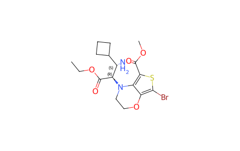 CCOC(=O)[C@@H]([C@@H](N)C1CCC1)N1CCOc2c(Br)sc(C(=O)OC)c21